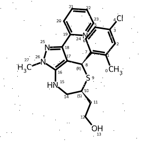 Cc1cc(Cl)ccc1[C@H]1S[C@@H](CCO)CNc2c1c(-c1ccccn1)nn2C